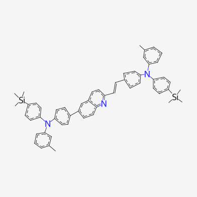 Cc1cccc(N(c2ccc(/C=C/c3ccc4cc(-c5ccc(N(c6ccc([Si](C)(C)C)cc6)c6cccc(C)c6)cc5)ccc4n3)cc2)c2ccc([Si](C)(C)C)cc2)c1